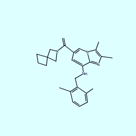 C=C(c1cc(NCc2c(C)cccc2C)c2nc(C)c(C)n2c1)N1CC2(CCC2)C1